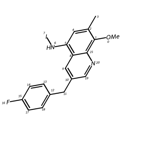 COc1c(C)cc(NI)c2cc(Cc3ccc(F)cc3)cnc12